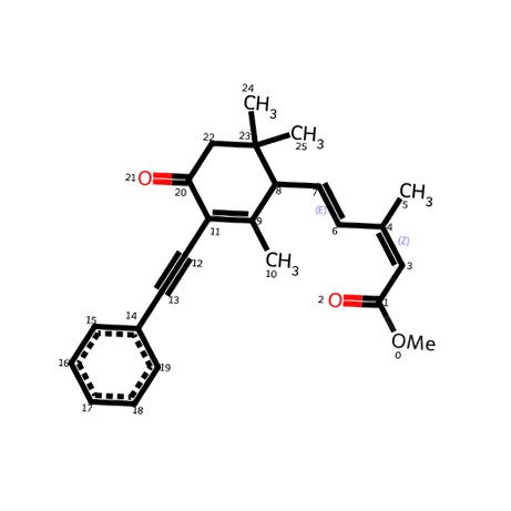 COC(=O)/C=C(C)\C=C\C1C(C)=C(C#Cc2ccccc2)C(=O)CC1(C)C